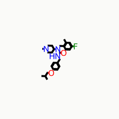 Cc1cc(F)ccc1CN(C(=O)NCc1ccc(OCC(C)C)cc1)C1CCN(C)CC1